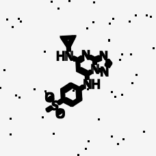 CS(=O)(=O)c1ccc(Nc2cc(NC3CC3)nc3ncnn23)cc1